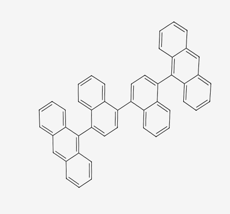 c1ccc2c(-c3ccc(-c4ccc(-c5c6ccccc6cc6ccccc56)c5ccccc45)c4ccccc34)c3ccccc3cc2c1